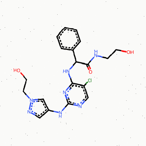 O=C(NCCO)C(Nc1nc(Nc2cnn(CCO)c2)ncc1Cl)c1ccccc1